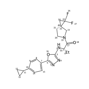 CC[C@H](Nc1nnc(-c2ccc(C3CC3)cc2)o1)C(=O)N1CC[C@]2(C1)CC2(F)F